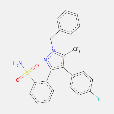 NS(=O)(=O)c1ccccc1-c1nn(Cc2ccccc2)c(C(F)(F)F)c1-c1ccc(F)cc1